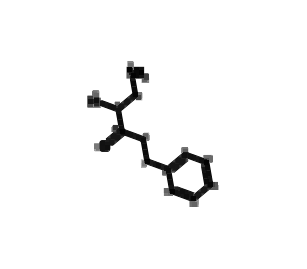 [CH2]CC(CN)C(=O)CCc1ccccc1